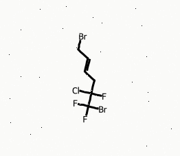 FC(F)(Br)C(F)(Cl)CC=CCBr